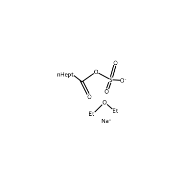 CCCCCCCC(=O)OS(=O)(=O)[O-].CCOCC.[Na+]